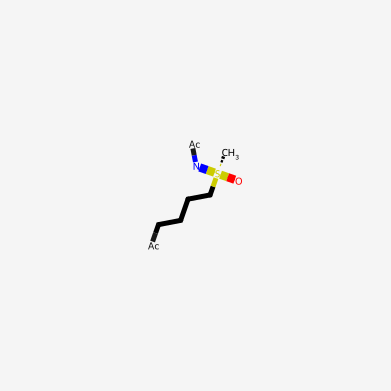 CC(=O)CCCC[S@](C)(=O)=NC(C)=O